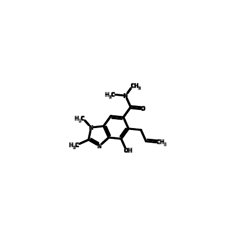 C=CCc1c(C(=O)N(C)C)cc2c(nc(C)n2C)c1O